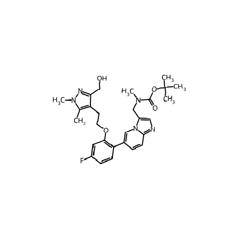 Cc1c(CCOc2cc(F)ccc2-c2ccc3ncc(CN(C)C(=O)OC(C)(C)C)n3c2)c(CO)nn1C